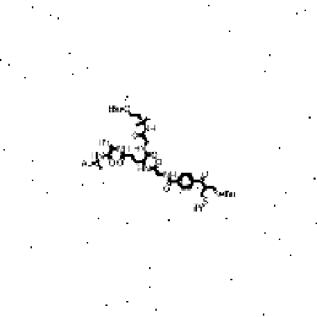 CCC(C)SCC(CSC(C)C)C(=O)c1ccc(C(=O)NCC(=O)NC(CCC(=O)NC(C(=O)NC(C)C(C)=O)C(C)C)C(=O)NCC(=O)NC(C)(C)CCOC(C)(C)C)cc1